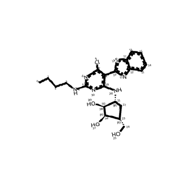 CCCCNc1nc(Cl)c(-c2nc3ccccc3s2)c(N[C@@H]2C[C@H](CO)[C@@H](O)[C@H]2O)n1